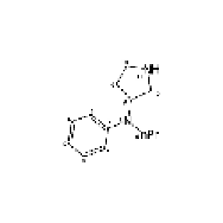 CCCN(c1ccccc1)C1CCNC1